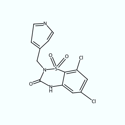 O=C1Nc2cc(Cl)cc(Cl)c2S(=O)(=O)N1Cc1ccncc1